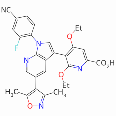 CCOc1cc(C(=O)O)nc(OCC)c1-c1cn(-c2ccc(C#N)cc2F)c2ncc(-c3c(C)noc3C)cc12